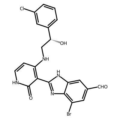 O=Cc1cc(Br)c2nc(-c3c(NC[C@@H](O)c4cccc(Cl)c4)cc[nH]c3=O)[nH]c2c1